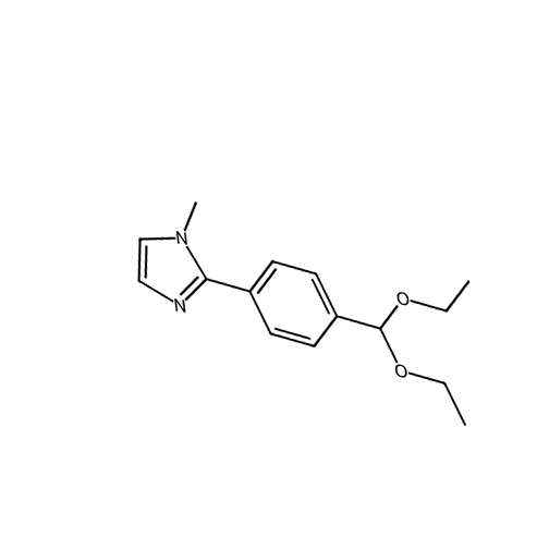 CCOC(OCC)c1ccc(-c2nccn2C)cc1